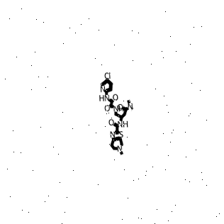 CN1CCc2nc(C(=O)NC(CNC(=O)C(=O)Nc3ccc(Cl)cn3)CC(=O)N(C)C)sc2C1